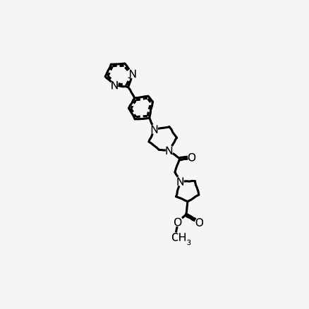 COC(=O)C1CCN(CC(=O)N2CCN(c3ccc(-c4ncccn4)cc3)CC2)C1